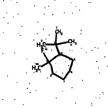 CC(C)(C)C1CCCCC1(C)F